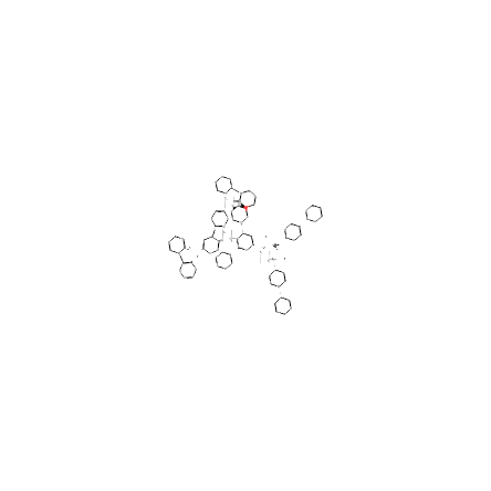 c1ccc(-c2ccc(-c3nc(-c4ccc(-c5ccccc5)cc4)nc(-c4cc(-c5ccccc5)c(-n5c6ccc(-n7c8ccccc8c8ccccc87)cc6c6ccc(-n7c8ccccc8c8ccccc87)cc65)c(-c5ccccc5)c4)n3)cc2)cc1